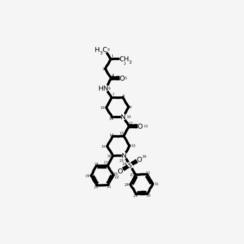 CC(C)CC(=O)NC1CCN(C(=O)C2CCC(c3ccccc3)N(S(=O)(=O)c3ccccc3)C2)CC1